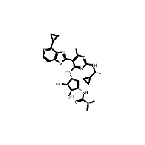 Cc1nc(N[C@H](C)C2CC2)nc(N[C@@H]2C[C@H](NC(=O)N(C)C)[C@@H](O)[C@H]2O)c1-c1nc2c(C3CC3)nccc2s1